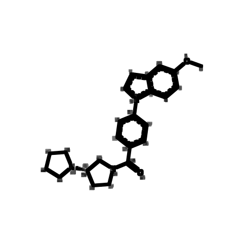 COc1ccc2c(ccn2-c2ccc(C(=O)N3CC[C@H](N4CCCC4)C3)cc2)c1